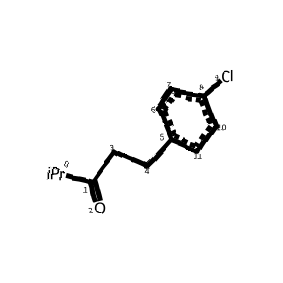 CC(C)C(=O)CCc1ccc(Cl)cc1